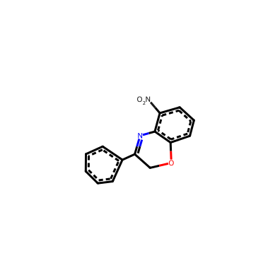 O=[N+]([O-])c1cccc2c1N=C(c1ccccc1)CO2